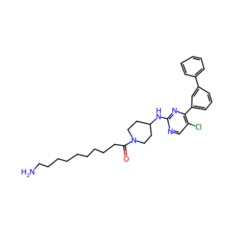 NCCCCCCCCCC(=O)N1CCC(Nc2ncc(Cl)c(-c3cccc(-c4ccccc4)c3)n2)CC1